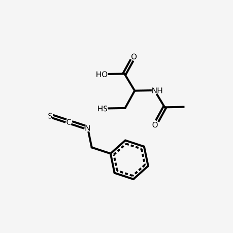 CC(=O)NC(CS)C(=O)O.S=C=NCc1ccccc1